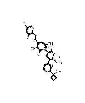 C=N/C(=C\C(=C(C)C)n1c(C)cc(OCc2ncc(F)cc2F)c(Cl)c1=O)c1ccnc(C2(O)CCC2)n1